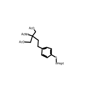 CCCCCCCSc1ccc(CCC(COC(C)=O)(COC(C)=O)NC(C)=O)cc1